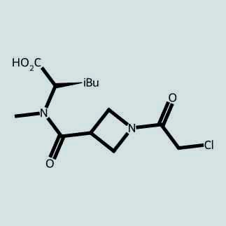 CC[C@H](C)C(C(=O)O)N(C)C(=O)C1CN(C(=O)CCl)C1